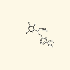 CC(C)(C)OC(=O)CCC(CN)c1cc(F)cc(F)c1F